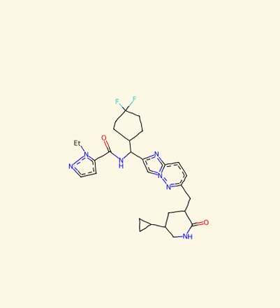 CCn1nccc1C(=O)NC(c1cn2nc(CC3CC(C4CC4)CNC3=O)ccc2n1)C1CCC(F)(F)CC1